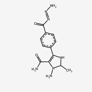 CC1NC(c2ccc(C(=O)N=NN)cc2)=C(C(N)=O)N1N